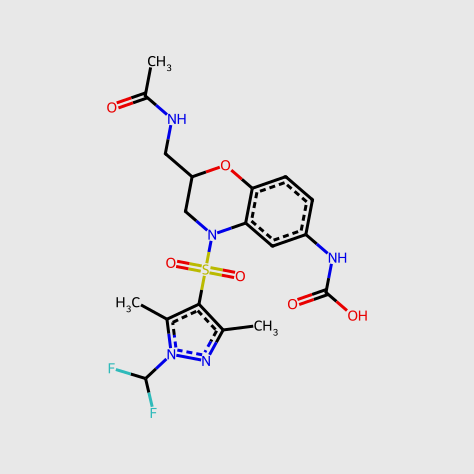 CC(=O)NCC1CN(S(=O)(=O)c2c(C)nn(C(F)F)c2C)c2cc(NC(=O)O)ccc2O1